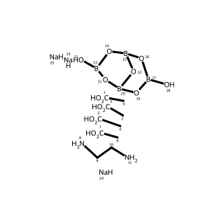 CC(=O)O.CC(=O)O.CC(=O)O.CC(=O)O.NCCN.OB1OB2OB(O)OB(O1)O2.[NaH].[NaH].[NaH]